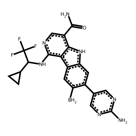 Bc1cc2c(cc1-c1cnc(N)nc1)[nH]c1c(C(N)=O)cnc(NC(C3CC3)C(F)(F)F)c12